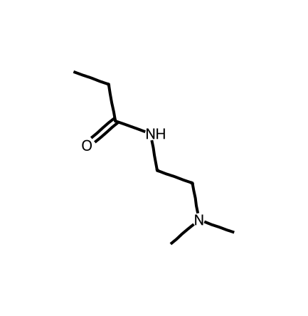 CCC(=O)NCCN(C)C